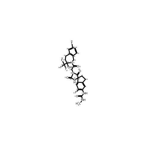 CNC(=O)Nc1cc2c(cc1F)C1(CC2)NC(=O)N(CC(=O)N2Cc3ccc(F)cc3CCC2(O)C(F)(F)F)C1=O